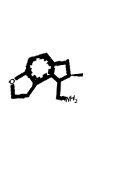 C[C@@H]1Cc2ccc3c(c2C1CN)CCO3